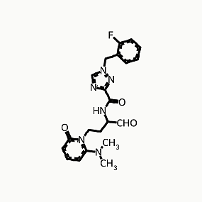 CN(C)c1cccc(=O)n1CCC(C=O)NC(=O)c1ncn(Cc2ccccc2F)n1